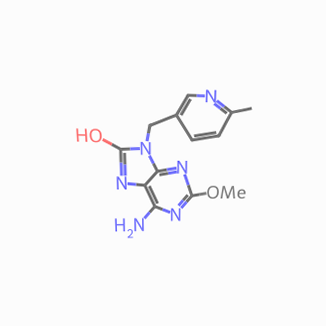 COc1nc(N)c2nc(O)n(Cc3ccc(C)nc3)c2n1